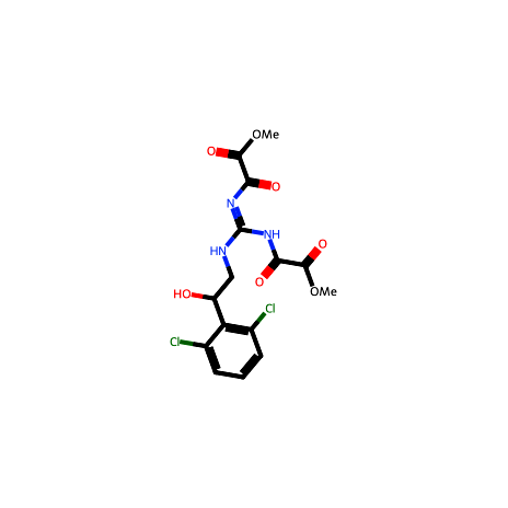 COC(=O)C(=O)N=C(NCC(O)c1c(Cl)cccc1Cl)NC(=O)C(=O)OC